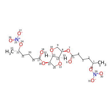 CC(CCCC(=O)O[C@@H]1CO[C@H]2[C@@H]1OC[C@H]2OC(=O)CCC[C@H](C)O[N+](=O)[O-])O[N+](=O)[O-]